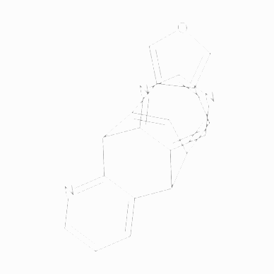 c1cnc2c(c1)C1c3cc(c4cocc4c3)C2c2ncncc21